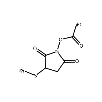 CC(C)SC1CC(=O)N(OC(=O)C(C)C)C1=O